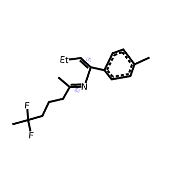 CC/C=C(\N=C(/C)CCCC(C)(F)F)c1ccc(C)cc1